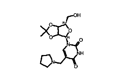 CC1(C)OC2C(O1)[C@@H](CO)O[C@H]2n1cc(CN2CCCC2)c(=O)[nH]c1=O